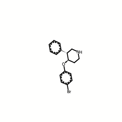 Brc1ccc(O[C@@H]2CCNC[C@H]2c2ccccc2)cc1